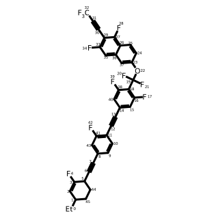 CCC1C=C(F)C(C#Cc2ccc(C#Cc3cc(F)c(C(F)(F)Oc4ccc5c(F)c(C#CC(F)(F)F)c(F)cc5c4)c(F)c3)c(F)c2)CC1